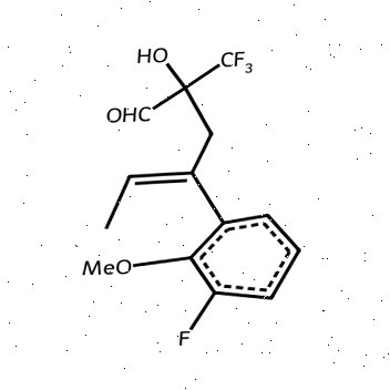 C/C=C(/CC(O)(C=O)C(F)(F)F)c1cccc(F)c1OC